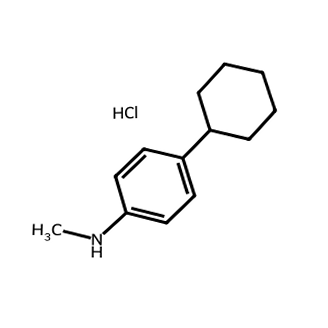 CNc1ccc(C2CCCCC2)cc1.Cl